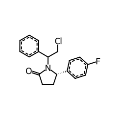 O=C1CC[C@@H](c2ccc(F)cc2)N1C(CCl)c1ccccc1